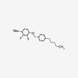 CCCCCc1ccc(COc2ccc(C#N)c(F)c2F)cc1